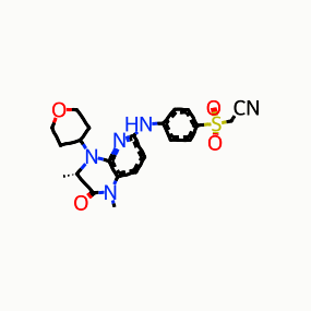 C[C@H]1C(=O)N(C)c2ccc(Nc3ccc(S(=O)(=O)CC#N)cc3)nc2N1C1CCOCC1